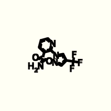 NS(=O)(=O)c1cccnc1-n1cc(C(F)(F)F)cn1